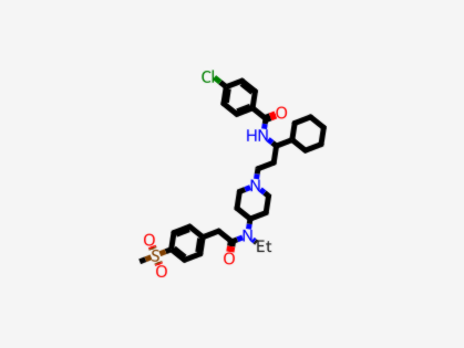 CCN(C(=O)Cc1ccc(S(C)(=O)=O)cc1)C1CCN(CCC(NC(=O)c2ccc(Cl)cc2)C2CCCCC2)CC1